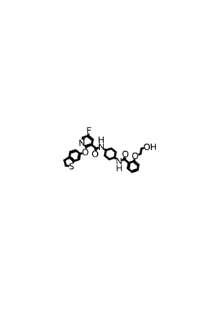 O=C(NC1CCC(NC(=O)c2cc(F)cnc2Oc2ccc3c(c2)SCC3)CC1)c1ccccc1OCCO